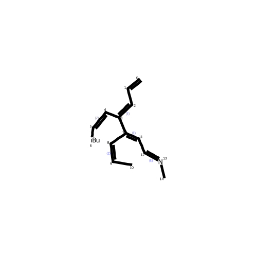 C=C/C=C(\C=C/C(C)CC)C(/C=C\C)=C/C=N/C